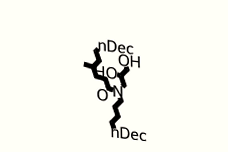 CCCCCCCCCCCCCCN(CC(O)CO)C(=O)CCC(C)CCCCCCCCCCCC